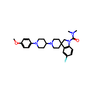 COc1ccc(N2CCC(N3CCC4(CC3)CN(C(=O)N(C)C)c3ccc(F)cc34)CC2)cc1